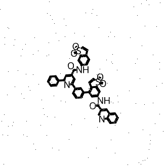 O=C(Nc1ccc2c(c1)S(=O)(=O)C=C2)c1cc(-c2ccccc2)nc(-c2cccc(-c3cc(NC(=O)c4cnc5ccccc5c4)cc4c3C=CS4(=O)=O)c2)c1